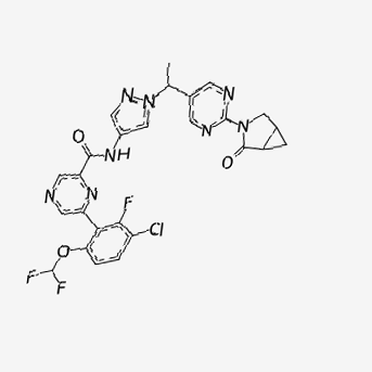 CC(c1cnc(N2CC3CC3C2=O)nc1)n1cc(NC(=O)c2cncc(-c3c(OC(F)F)ccc(Cl)c3F)n2)cn1